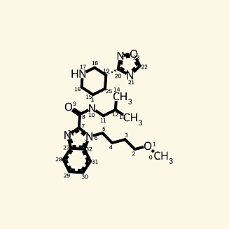 COCCCCn1c(C(=O)N(CC(C)C)[C@@H]2CNC[C@H](c3ncon3)C2)nc2ccccc21